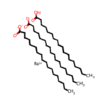 CCCCCCCCCCCCCCCCCC(=O)O.CCCCCCCCCCCCCCCCCC(=O)[O-].CCCCCCCCCCCCCCCCCC(=O)[O-].[Ba+2]